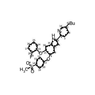 CCC(C)c1ccc(-c2cc3cc(Oc4ccc(S(C)(=O)=O)cc4)c(Oc4ccccc4F)cc3[nH]2)nc1